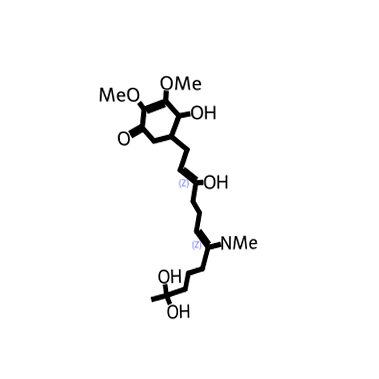 CN/C(=C\CC/C(O)=C/CC1CC(=O)C(OC)=C(OC)C1O)CCCC(C)(O)O